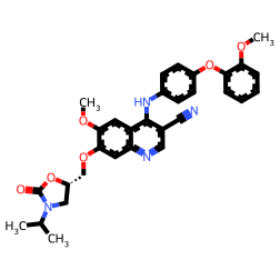 COc1cc2c(Nc3ccc(Oc4ccccc4OC)cc3)c(C#N)cnc2cc1OC[C@@H]1CN(C(C)C)C(=O)O1